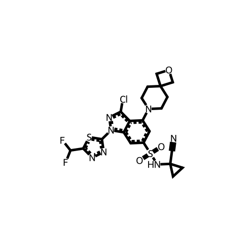 N#CC1(NS(=O)(=O)c2cc(N3CCC4(CC3)COC4)c3c(Cl)nn(-c4nnc(C(F)F)s4)c3c2)CC1